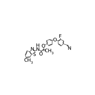 Cc1ccc2nc(NC(=O)[C@@H](C)Oc3ccc(Oc4ccc(C#N)cc4F)cc3)sc2c1